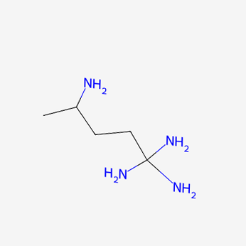 CC(N)CCC(N)(N)N